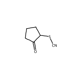 N#CSC1CCCC1=O